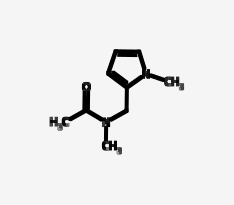 CC(=O)N(C)Cc1cccn1C